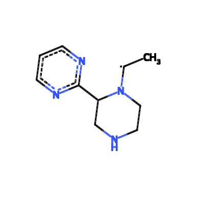 C[CH]N1CCNCC1c1ncccn1